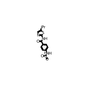 CC(C)c1cnc(NC(=O)c2ccc(N[SH](=O)=O)cc2)s1